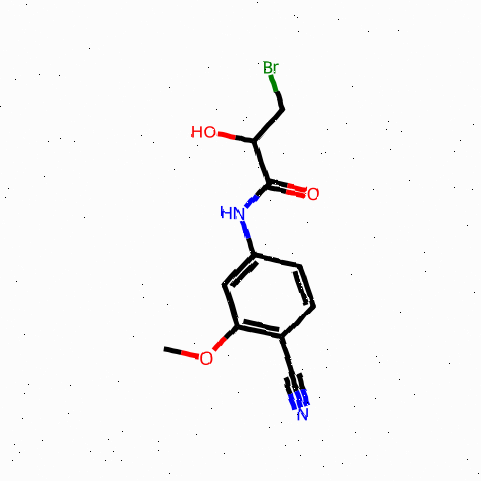 COc1cc(NC(=O)C(O)CBr)ccc1C#N